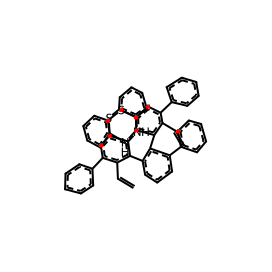 C=Cc1c(-c2ccccc2)cc2c(c1-c1cccc(-c3ccccc3)c1-c1c(C=C)c(-c3ccccc3)cc3c1Nc1ccccc1S3)Nc1ccccc1S2